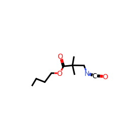 CCCCOC(=O)C(C)(C)CN=C=O